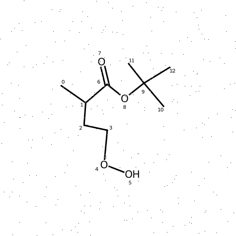 CC(CCOO)C(=O)OC(C)(C)C